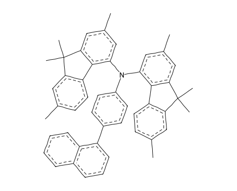 Cc1ccc2c(c1)C(C)(C)c1cc(C)cc(N(c3ccc(-c4cccc5ccccc45)cc3)c3cc(C)cc4c3-c3ccc(C)cc3C4(C)C)c1-2